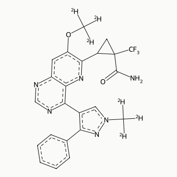 [2H]C([2H])([2H])Oc1cc2ncnc(-c3cn(C([2H])([2H])[2H])nc3-c3ccccc3)c2nc1C1CC1(C(N)=O)C(F)(F)F